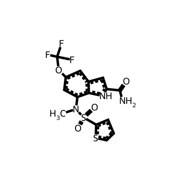 CN(c1cc(OC(F)(F)F)cc2cc(C(N)=O)[nH]c12)S(=O)(=O)c1cccs1